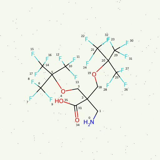 NCC(COC(C(F)(F)F)(C(F)(F)F)C(F)(F)F)(COC(C(F)(F)F)(C(F)(F)F)C(F)(F)F)C(=O)O